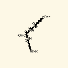 CCCCCCCCCCCCCCCCCC(=O)NCCC(=O)NCCC(=O)C([C]=O)CCNC(=O)CCCCCCCCCCCCCCCCC